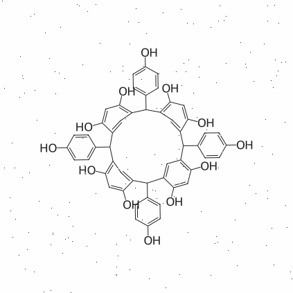 Oc1ccc(C2c3cc(c(O)cc3O)C(c3ccc(O)cc3)c3cc(c(O)cc3O)C(c3ccc(O)cc3)c3cc(c(O)cc3O)C(c3ccc(O)cc3)c3cc2c(O)cc3O)cc1